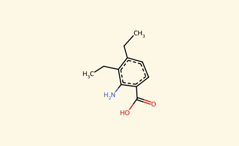 CCc1ccc(C(=O)O)c(N)c1CC